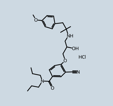 CCCN(CCC)C(=O)c1ccc(OCC(O)CNC(C)(C)Cc2ccc(OC)cc2)c(C#N)c1.Cl